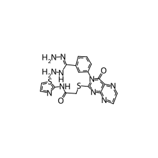 N/N=C(\NN)c1cccc(-n2c(SCC(=O)Nc3nccs3)nc3nccnc3c2=O)c1